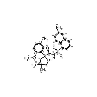 COc1ccc(C)cc1C1(C(=O)NS(=O)(=O)c2cccc3nc(N)ccc23)CC(C)(C)CO1